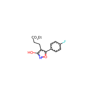 CCOC(=O)CCc1c(O)noc1-c1ccc(F)cc1